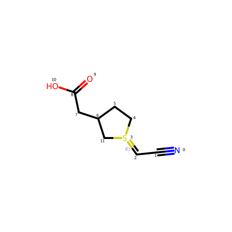 N#C/C=S1\CCC(CC(=O)O)C1